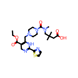 CCOC(=O)C1=C(CN2CCN(C(=O)N(C)CC(C)(C)CC(=O)O)CC2)NC(c2nccs2)=NC1